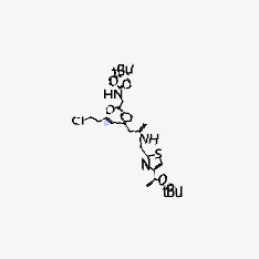 C=C(CC(/C=C/CCCl)OC(=O)CNC(=O)OC(C)(C)C)NCc1nc(C(=C)OC(C)(C)C)cs1